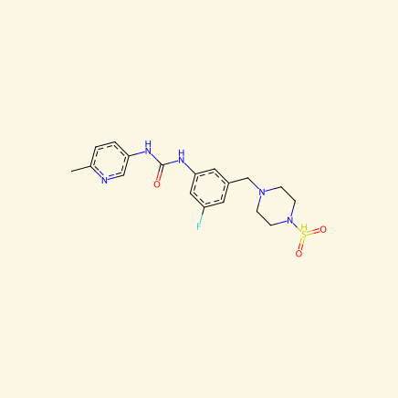 Cc1ccc(NC(=O)Nc2cc(F)cc(CN3CCN([SH](=O)=O)CC3)c2)cn1